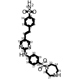 NS(=O)(=O)c1ccc(C=Cc2cnc(Nc3ccc(S(=O)(=O)N4CCCNCC4)cc3)nc2)cc1